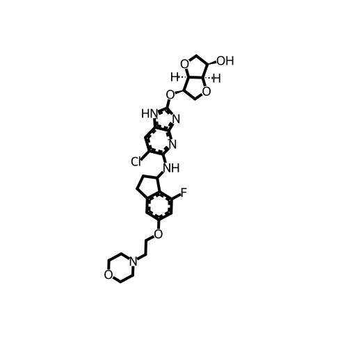 O[C@@H]1CO[C@H]2[C@@H]1OC[C@H]2Oc1nc2nc(NC3CCc4cc(OCCN5CCOCC5)cc(F)c43)c(Cl)cc2[nH]1